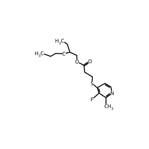 CCCCC(CC)COC(=O)CCSc1ccnc(C)c1F